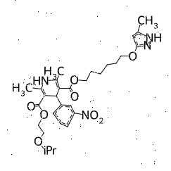 CC1=C(C(=O)OCCCCCCOc2cc(C)[nH]n2)C(c2cccc([N+](=O)[O-])c2)C(C(=O)OCCOC(C)C)=C(C)N1